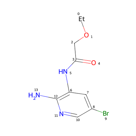 CCOCC(=O)Nc1cc(Br)cnc1N